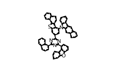 c1ccc2cc3c(cc2c1)c1ccccc1n3-c1cc(-c2nc(-c3cccc4ccccc34)nc(-c3cccc4oc5ccccc5c34)n2)cc2sc3c4ccccc4ccc3c12